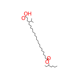 CCCCC(CC)COC(=O)CCCCCCCCCCCCCCCCCCCC(CCC(=O)O)C(C)C